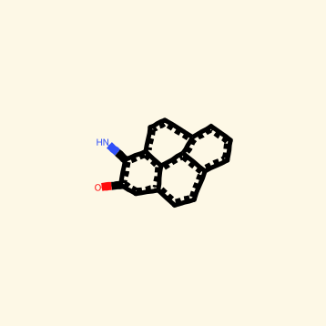 N=c1c(=O)cc2ccc3cccc4ccc1c2c34